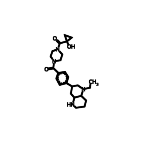 CCN1CC(c2ccc(C(=O)N3CCN(C(=O)C4(O)CC4)CC3)cc2)CC2NCCCC21